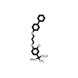 COC(C)(C(=O)O)c1ccc(OCCCOc2ccc(-c3ccccc3)cc2)c(Cl)c1